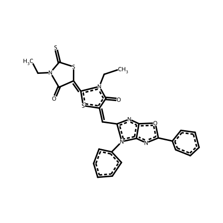 CCN1C(=O)/C(=c2\s/c(=C/c3nc4oc(-c5ccccc5)nc4n3-c3ccccc3)c(=O)n2CC)SC1=S